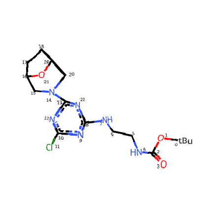 CC(C)(C)OC(=O)NCCNc1nc(Cl)nc(N2CC3CCC(C2)O3)n1